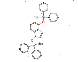 CC(C)(C)[Si](Oc1cccc2c1C=[C]C2O[Si](c1ccccc1)(c1ccccc1)C(C)(C)C)(c1ccccc1)c1ccccc1